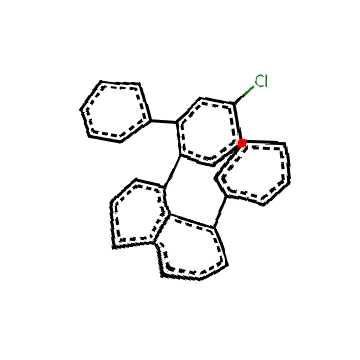 Clc1ccc(-c2cccc3cccc(-c4ccccc4)c23)c(-c2ccccc2)c1